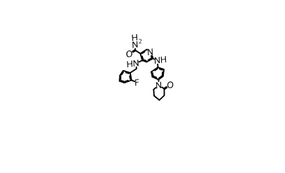 NC(=O)c1cnc(Nc2ccc(N3CCCCC3=O)cc2)cc1NCc1ccccc1F